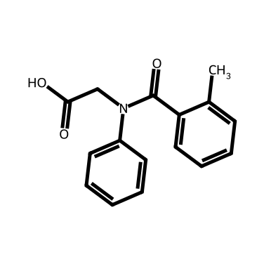 Cc1ccccc1C(=O)N(CC(=O)O)c1ccccc1